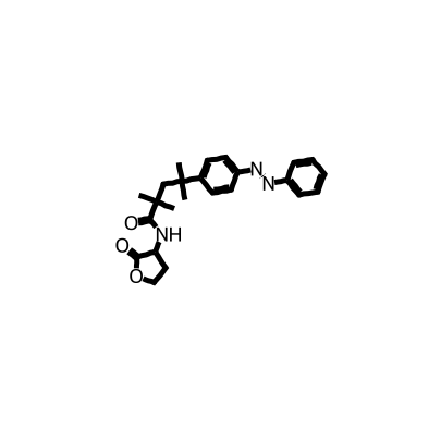 CC(C)(CC(C)(C)c1ccc(/N=N/c2ccccc2)cc1)C(=O)NC1CCOC1=O